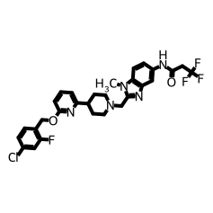 Cn1c(CN2CCC(c3cccc(OCc4ccc(Cl)cc4F)n3)CC2)nc2cc(NC(=O)CC(F)(F)F)ccc21